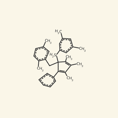 CC1=C(C)C(Cc2cc(C)ccc2C)([SiH2]c2cc(C)cc(C)c2)C(c2ccccc2)=C1C